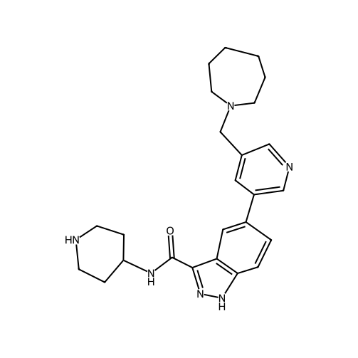 O=C(NC1CCNCC1)c1n[nH]c2ccc(-c3cncc(CN4CCCCCC4)c3)cc12